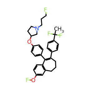 CC(F)(F)c1ccc(C2=C(c3ccc(OC4CCN(CCCF)C4)cc3)c3ccc(OF)cc3CCC2)cc1